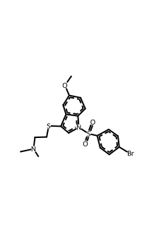 COc1ccc2c(c1)c(SCCN(C)C)cn2S(=O)(=O)c1ccc(Br)cc1